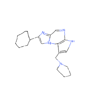 c1[nH]c2ncc3nc(C4CCCCC4)cn3c2c1CN1CCCC1